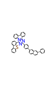 c1ccc(-c2ccc3ccc(-c4ccc(-c5nc(-c6ccccc6-c6ccccc6)nc(-c6cccc7c6sc6ccccc67)n5)cc4)cc3c2)cc1